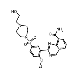 CCOc1ccc(S(=O)(=O)N2CCN(CCO)CC2)cc1-c1ncc2cccc(C(N)=O)c2n1